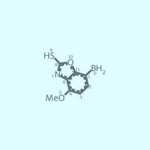 Bc1ccc(OC)c2nc(S)oc12